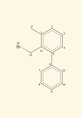 Cc1cccc(-c2ccccc2)c1CBr